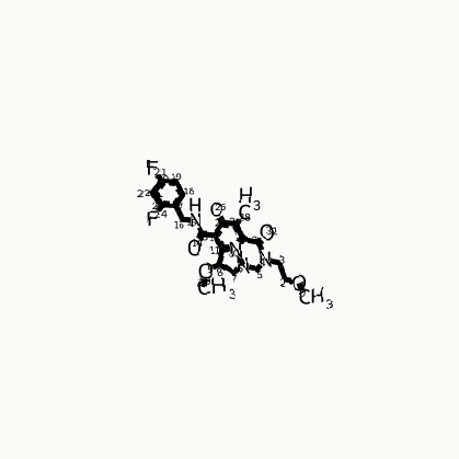 COCCN1CN2CC(OC)c3c(C(=O)NCc4ccc(F)cc4F)c(=O)c(C)c(n32)C1=O